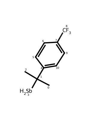 C[C](C)([SbH2])c1ccc(C(F)(F)F)cc1